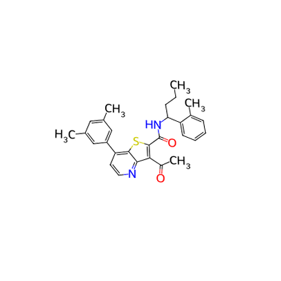 CCCC(NC(=O)c1sc2c(-c3cc(C)cc(C)c3)ccnc2c1C(C)=O)c1ccccc1C